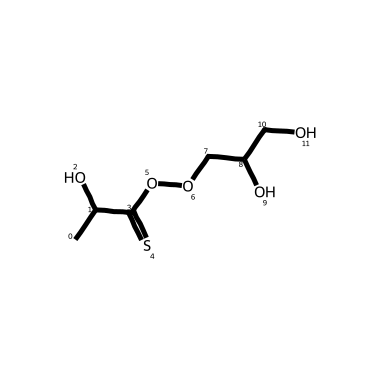 CC(O)C(=S)OOCC(O)CO